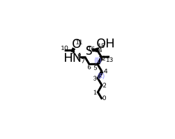 CCC/C=C/C(CCNC(C)=O)=C(\C)C(O)=S